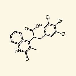 Cc1c(C(Cc2cc(Cl)c(Br)c(Cl)c2)C(=O)O)c2ccccc2[nH]c1=O